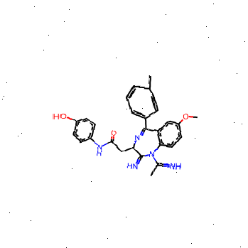 COc1ccc2c(c1)C(C1=CC=CC(C)C=C1)=NC(CC(=O)Nc1ccc(O)cc1)C(=N)N2C(C)=N